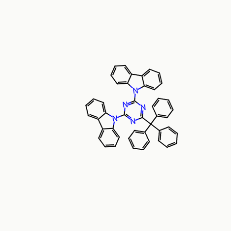 c1ccc(C(c2ccccc2)(c2ccccc2)c2nc(-n3c4ccccc4c4ccccc43)nc(-n3c4ccccc4c4ccccc43)n2)cc1